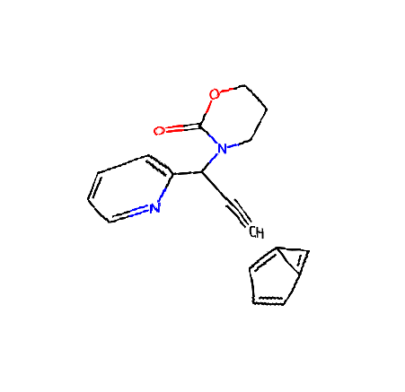 C#CC(c1ccccn1)N1CCCOC1=O.c1cc2cc-2c1